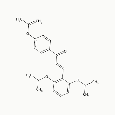 C=C(C)Oc1ccc(C(=O)C=Cc2c(OC(C)C)cccc2OC(C)C)cc1